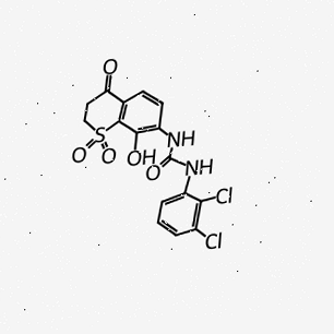 O=C(Nc1ccc2c(c1O)S(=O)(=O)CCC2=O)Nc1cccc(Cl)c1Cl